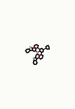 c1ccc(-c2cc(-c3ccccc3)c(N(c3ccc4c(c3)sc3ccccc34)c3ccc4oc5ccccc5c4c3)c(-c3ccccc3)c2)cc1